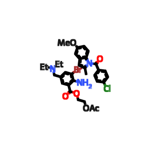 CCN(CC)Cc1cc(Br)c(N)c(C(=O)OCCOC(C)=O)c1.COc1ccc2c(c1)cc(C)n2C(=O)c1ccc(Cl)cc1